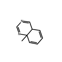 CC12C=CC=CC1C=NC=N2